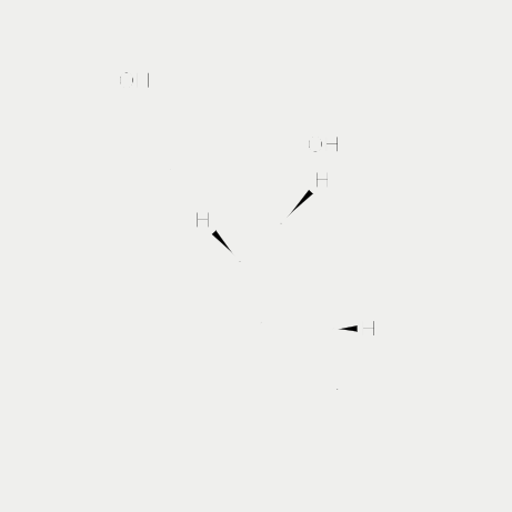 CC1(C)CCCC2(C)[C@@H]3CCC(CO)CC(O)[C@@H]3CC[C@H]12